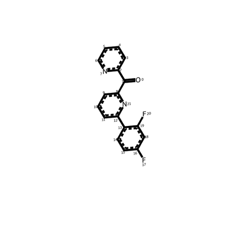 O=C(c1ccccn1)c1cccc(-c2ccc(F)cc2F)n1